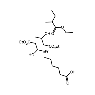 CCCC(O)CC(=O)OCC.CCCCCC(=O)O.CCOC(=O)C(C)CC.CCOC(=O)CC(C)O